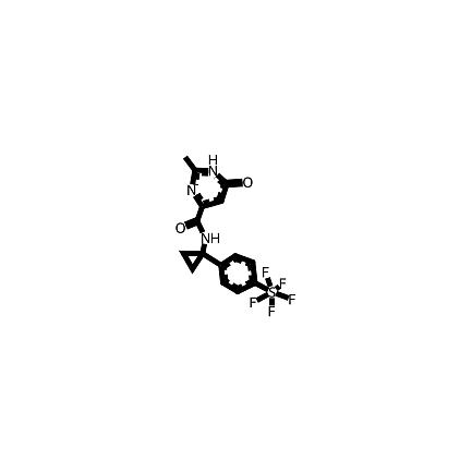 Cc1nc(C(=O)NC2(c3ccc(S(F)(F)(F)(F)F)cc3)CC2)cc(=O)[nH]1